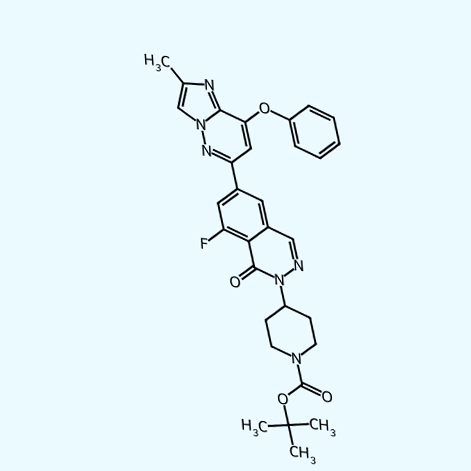 Cc1cn2nc(-c3cc(F)c4c(=O)n(C5CCN(C(=O)OC(C)(C)C)CC5)ncc4c3)cc(Oc3ccccc3)c2n1